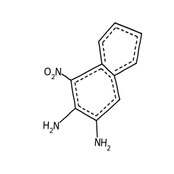 Nc1cc2ccccc2c([N+](=O)[O-])c1N